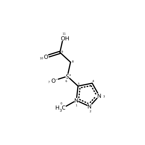 Cn1nncc1[S+]([O-])CC(=O)O